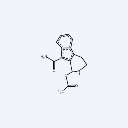 NC(=O)n1c2c(c3ccccc31)CCNC2OC(=O)C(F)(F)F